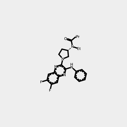 CCN(C(=O)C(C)C)[C@H]1CCN(c2nc3cc(F)c(F)cc3nc2Nc2ccccc2)C1